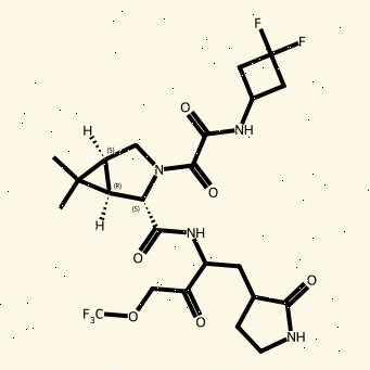 CC1(C)[C@@H]2[C@@H](C(=O)NC(CC3CCNC3=O)C(=O)COC(F)(F)F)N(C(=O)C(=O)NC3CC(F)(F)C3)C[C@@H]21